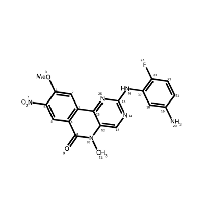 COc1cc2c(cc1[N+](=O)[O-])c(=O)n(C)c1cnc(Nc3cc(N)ccc3F)nc21